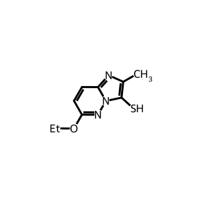 CCOc1ccc2nc(C)c(S)n2n1